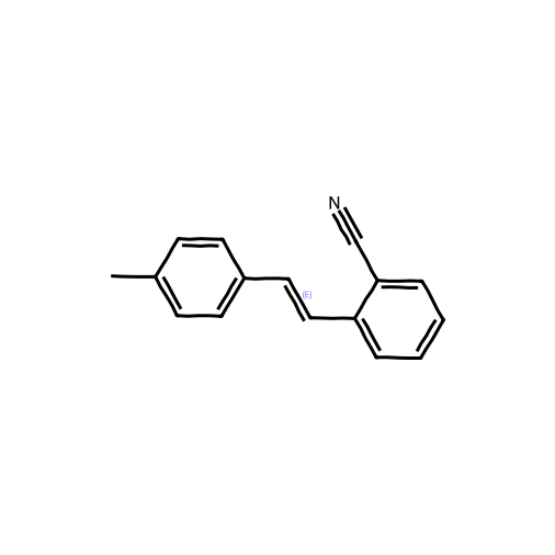 Cc1ccc(/C=C/c2ccccc2C#N)cc1